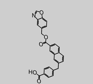 O=C(O)c1ccc(Cc2ccc3ccc(C(=O)OCc4ccc5ocnc5c4)cc3c2)cc1